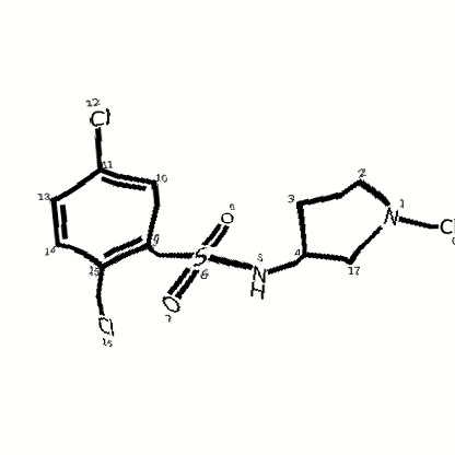 N#CN1CCC(NS(=O)(=O)c2cc(Cl)ccc2Cl)C1